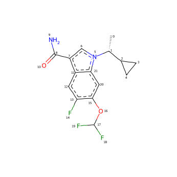 C[C@H](C1CC1)n1cc(C(N)=O)c2cc(F)c(OC(F)F)cc21